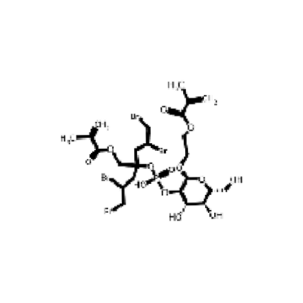 C=C(C)C(=O)OCCOC1O[C@H](CO)[C@@H](O)[C@H](O)[C@H]1OP(=O)(O)OC(COC(=O)C(=C)C)(CC(Br)CBr)CC(Br)CBr